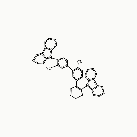 N#Cc1ccc(C2=C(n3c4ccccc4c4ccccc43)CCC=C2)cc1-c1ccc(-n2c3ccccc3c3ccccc32)c(C#N)c1